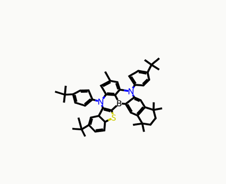 Cc1cc2c3c(c1)N(c1ccc(C(C)(C)C)cc1)c1cc4c(cc1B3C1=C(C3C=C(C(C)(C)C)C=CC3S1)N2c1ccc(C(C)(C)C)cc1)C(C)(C)CCC4(C)C